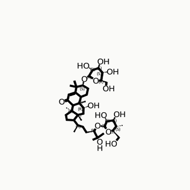 C[C@H]1[C@H](O)[C@@H](O)[C@H](O[C@H](CC[C@@H](C)C2CC[C@@]3(C)C4C(=O)C=C5C(CC[C@H](O[C@@H]6O[C@H](CO)[C@@H](O)[C@H](O)[C@H]6O)C5(C)C)[C@]4(C)[C@H](O)C[C@]23C)C(C)(C)O)O[C@@H]1CO